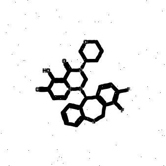 O=C1c2c(O)c(=O)ccn2N([C@@H]2c3ccccc3SCc3c2ccc(F)c3F)CN1[C@@H]1CCCOC1